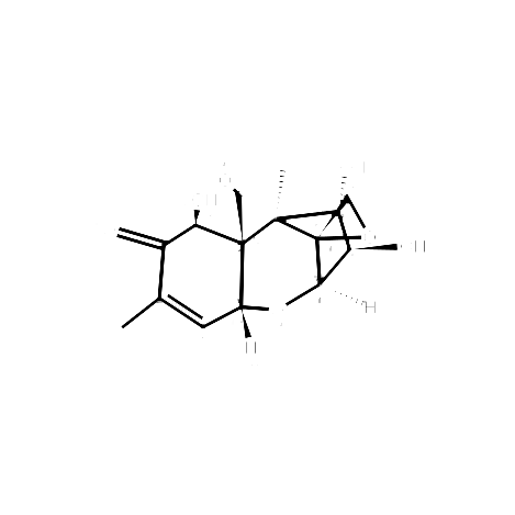 CC1=C[C@H]2O[C@@H]3[C@H](O)[C@@H](O)[C@](C)([C@@]2(CO)[C@H](O)C1=O)[C@@]31CO1